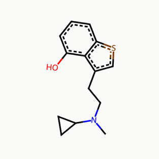 CN(CCc1csc2cccc(O)c12)C1CC1